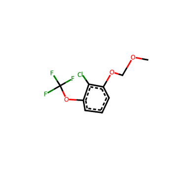 COCOc1cccc(OC(F)(F)F)c1Cl